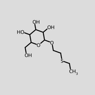 CCSCCOC1OC(CO)C(O)C(O)C1O